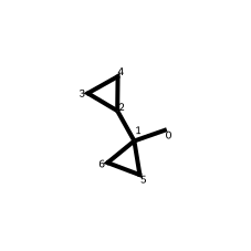 CC1(C2CC2)CC1